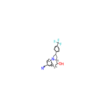 CC(O)[C@@H]1CC(c2ccc(C(F)(F)F)cc2)CN1c1ccc(C#N)cc1